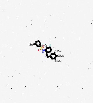 COc1cc(/C=C\c2ccc(F)c(OC)c2NS(=O)(=O)c2cccc(C(C)(C)C)c2)cc(OC)c1OC